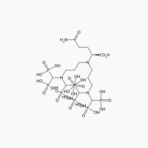 NC(=O)CC[C@@H](C(=O)O)N(CCCN(C(P(=O)(O)O)P(=O)(O)O)C(P(=O)(O)O)P(=O)(O)O)CCCN(C(P(=O)(O)O)P(=O)(O)O)C(P(=O)(O)O)P(=O)(O)O